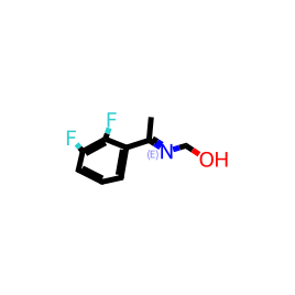 C/C(=N\CO)c1cccc(F)c1F